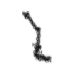 COc1cnc(-n2cnc(C(=O)N[C@H]3C[C@@H](CO)N(c4nccc(NCCOCCOCCOCCOCc5cn(CCOCCOCCOCCOCCC(=O)Oc6c(F)cc(F)cc6F)nn5)n4)C3)n2)c2[nH]cc(C(=O)C(=O)N3CCC(=C(C#N)c4ccccc4)CC3)c12